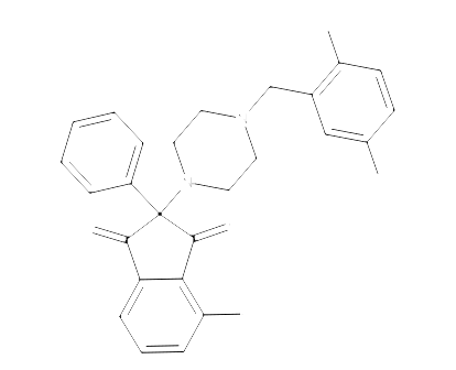 O=C1c2cccc(F)c2C(=O)C1(c1ccccc1)N1CCN(Cc2cc(F)ccc2F)CC1